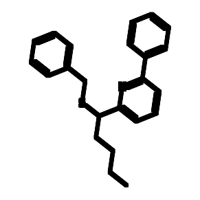 CCCCC(SCc1ccccc1)c1cccc(-c2ccccc2)n1